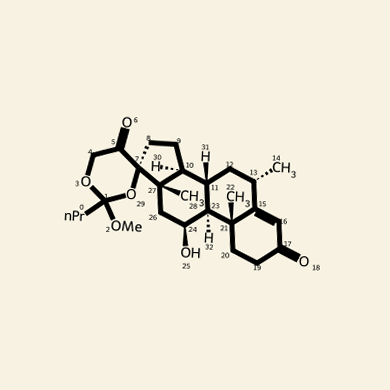 CCCC1(OC)OCC(=O)[C@]2(CC[C@H]3[C@@H]4C[C@H](C)C5=CC(=O)CC[C@]5(C)[C@H]4[C@@H](O)C[C@@]32C)O1